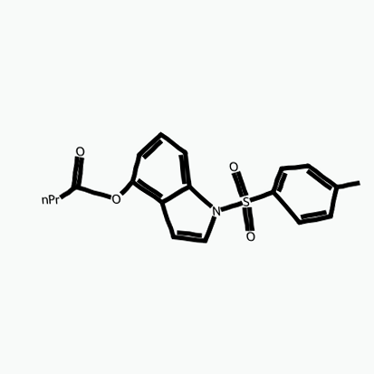 CCCC(=O)Oc1cccc2c1ccn2S(=O)(=O)c1ccc(C)cc1